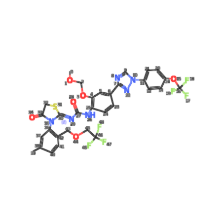 COCOc1cc(-c2ncn(-c3ccc(OC(F)(F)F)cc3)n2)ccc1NC(=O)/N=C1\SCC(=O)N1c1cc(C)ccc1COCC(F)(F)F